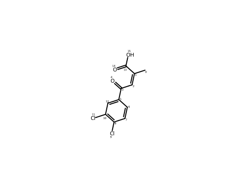 CC(=CC(=O)c1ccc(Cl)c(Cl)c1)C(=O)O